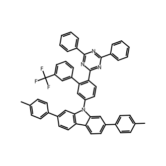 Cc1ccc(-c2ccc3c4ccc(-c5ccc(C)cc5)cc4n(-c4ccc(-c5nc(-c6ccccc6)nc(-c6ccccc6)n5)c(-c5cccc(C(F)(F)F)c5)c4)c3c2)cc1